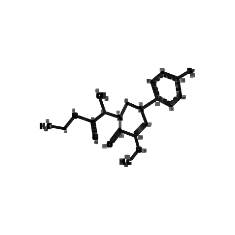 CCOC(=O)C(C)N1CN(c2ccc(Br)cc2)C=C(OC)C1=O